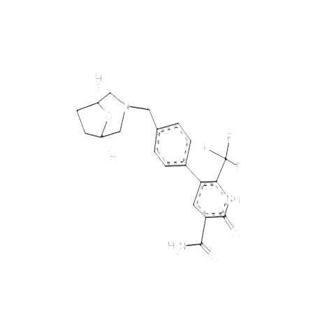 NC(=O)c1cc(-c2ccc(CN3C[C@H]4CC[C@@H](C3)O4)cc2)c(C(F)(F)F)[nH]c1=O